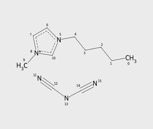 CCCCCn1cc[n+](C)c1.N#C[N-]C#N